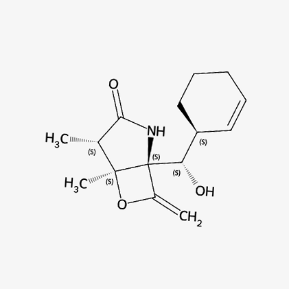 C=C1O[C@@]2(C)[C@H](C)C(=O)N[C@@]12[C@@H](O)[C@@H]1C=CCCC1